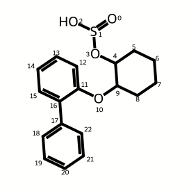 O=S(O)OC1CCCCC1Oc1ccccc1-c1ccccc1